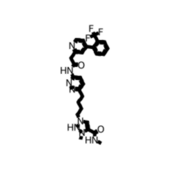 CNC(=O)C1=CN(CCCCc2ccc(NC(=O)Cc3cc(-c4ccccc4C(F)(F)F)ccn3)nn2)NN1C